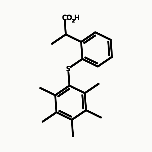 Cc1c(C)c(C)c(Sc2ccccc2C(C)C(=O)O)c(C)c1C